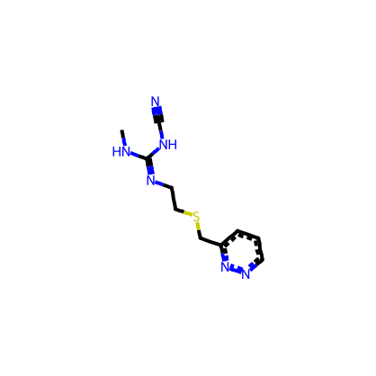 CN/C(=N/CCSCc1cccnn1)NC#N